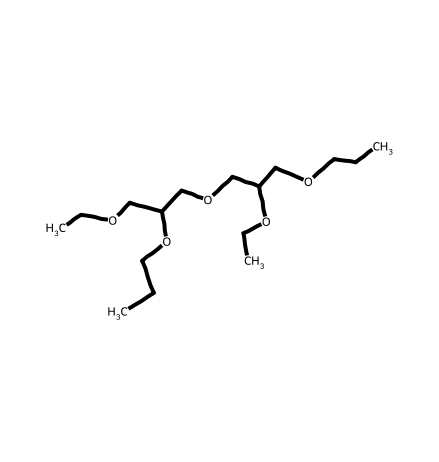 CCCOCC(COCC(COCC)OCCC)OCC